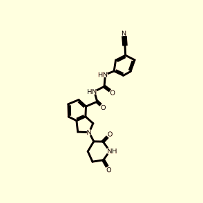 N#Cc1cccc(NC(=O)NC(=O)c2cccc3c2CN(C2CCC(=O)NC2=O)C3)c1